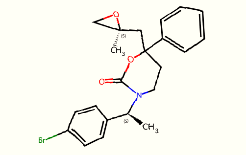 C[C@@H](c1ccc(Br)cc1)N1CCC(C[C@@]2(C)CO2)(c2ccccc2)OC1=O